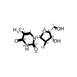 Cc1cn([C@@H]2O[C@H](CO)[C@H](O)C2I)c(=O)[nH]c1=O